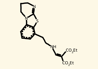 CCOC(=O)C(=CNCCc1cccc2c1SC1=NCCCN12)C(=O)OCC